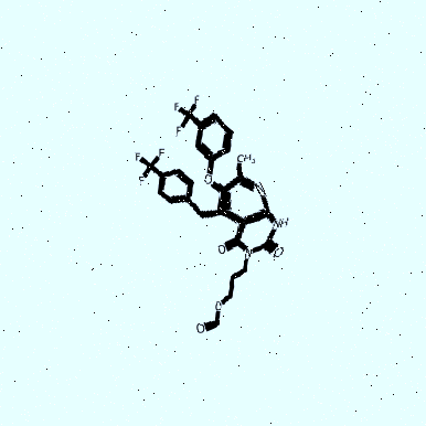 Cc1nc2[nH]c(=O)n(CCCOC=O)c(=O)c2c(Cc2ccc(C(F)(F)F)cc2)c1Oc1cccc(C(F)(F)F)c1